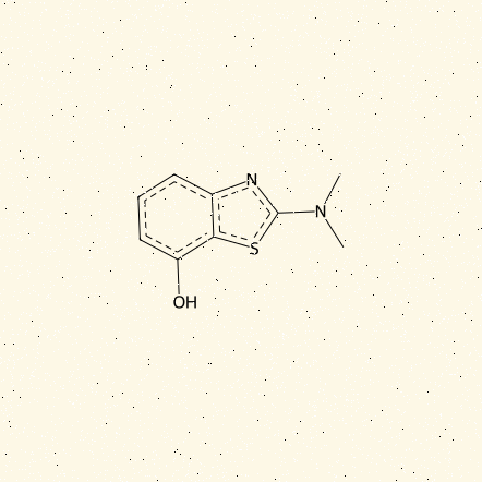 CN(C)c1nc2cccc(O)c2s1